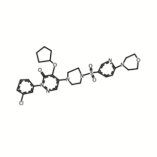 O=c1c(OC2CCCC2)c(N2CCN(S(=O)(=O)c3ccc(N4CCOCC4)nc3)CC2)cnn1-c1cccc(Cl)c1